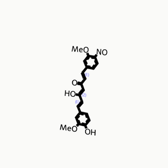 COc1cc(/C=C/C(O)=C/C(=O)/C=C/c2ccc(N=O)c(OC)c2)ccc1O